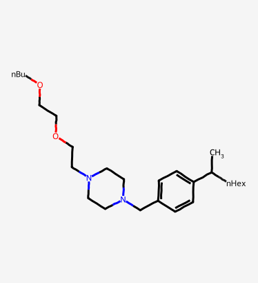 CCCCCCC(C)c1ccc(CN2CCN(CCOCCOCCCC)CC2)cc1